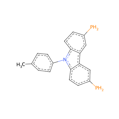 Cc1ccc(-n2c3ccc(P)cc3c3cc(P)ccc32)cc1